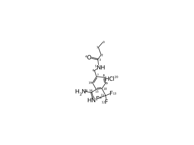 CCCC(=O)NCc1ccc(C(F)(F)F)c(C(=N)N)c1.Cl